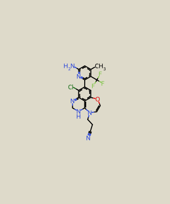 Cc1cc(N)nc(-c2cc3c4c(c2Cl)=NCNC=4N(CCC#N)C=CO3)c1C(F)(F)F